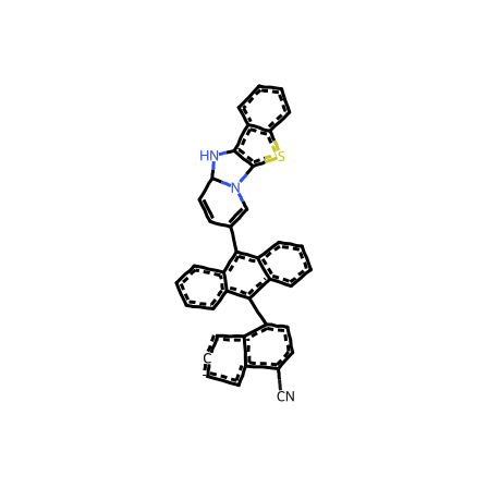 N#Cc1ccc(-c2c3ccccc3c(C3=CN4c5sc6ccccc6c5NC4C=C3)c3ccccc23)c2ccccc12